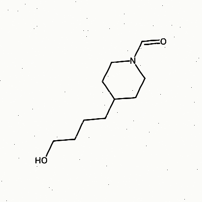 O=CN1CCC(CCCCO)CC1